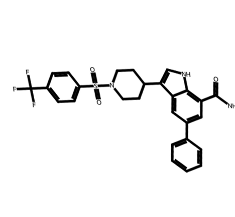 NC(=O)c1cc(-c2ccccc2)cc2c(C3CCN(S(=O)(=O)c4ccc(C(F)(F)F)cc4)CC3)c[nH]c12